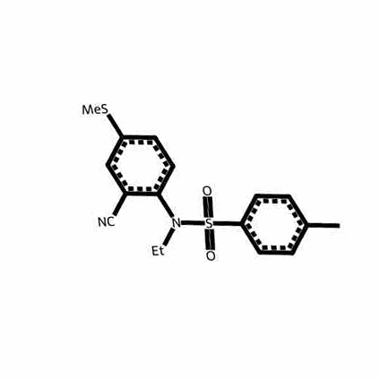 CCN(c1ccc(SC)cc1C#N)S(=O)(=O)c1ccc(C)cc1